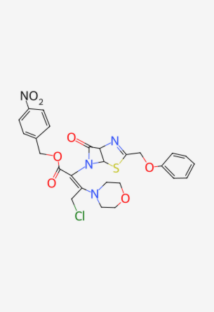 O=C(OCc1ccc([N+](=O)[O-])cc1)C(=C(CCl)N1CCOCC1)N1C(=O)C2N=C(COc3ccccc3)SC21